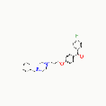 O=C(c1ccc(F)cc1)c1ccc(OCCCN2CCN(Cc3ccccc3)CC2)cc1